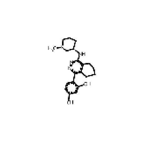 Cc1ccc(-c2nnc(N[C@@H]3CCCN(C)C3)c3c2CCCC3)c(O)c1